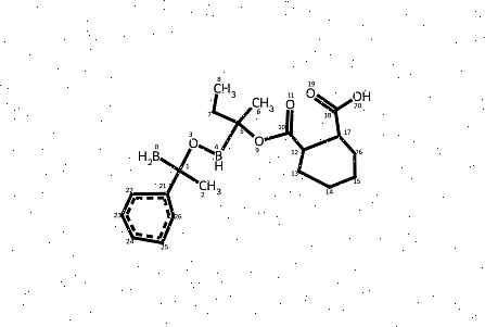 BC(C)(OBC(C)(CC)OC(=O)C1CCCCC1C(=O)O)c1ccccc1